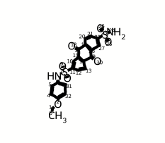 CCOc1ccc(NS(=O)(=O)c2ccc3c(c2)C(=O)c2ccc(S(N)(=O)=O)cc2C3=O)cc1